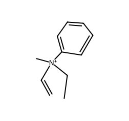 C=C[N+](C)(CC)c1ccccc1